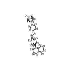 Cc1nc(-c2ccc(CCN3CCN(c4cccc5ccccc45)CC3)cc2)cs1